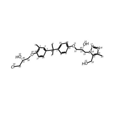 Cc1cc(C(C)(C)c2ccc(OC[C@H](O)Cn3nnc(C)c3CO)cc2)ccc1OC[C@@H](O)CCl